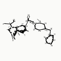 CC(C)n1cnc2ccc(C(=O)N3CCC(Cc4ccccc4)CC3)cc21